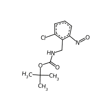 CC(C)(C)OC(=O)NCc1c(Cl)cccc1N=O